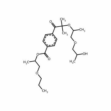 CCCOCC(C)OC(=O)c1ccc(C(=O)C(C)(C)OC(C)COCC(C)O)cc1